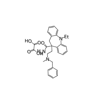 CCN1c2ccccc2CC(CCN(C)Cc2ccccc2)(C(N)=O)c2ccccc21.O=C(O)C(=O)O